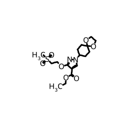 CCOC(=O)c1cn(C2CCC3(CC2)OCCO3)nc1OCCS(C)(=O)=O